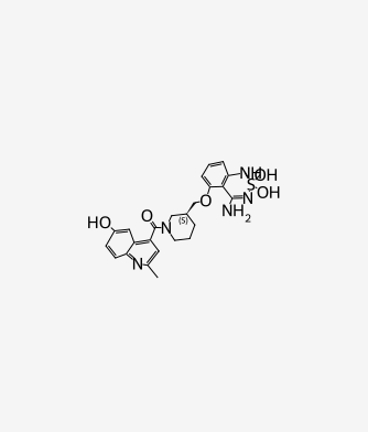 Cc1cc(C(=O)N2CCC[C@H](COc3cccc4c3C(N)=NS(O)(O)N4)C2)c2cc(O)ccc2n1